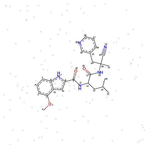 COc1cccc2[nH]c(C(=O)NC(CC(C)C)C(=O)NC(C)(C#N)Cc3cccnc3)cc12